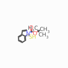 CC(C)(C)OC(=O)[N@+]1(S)C=Cc2ccccc21